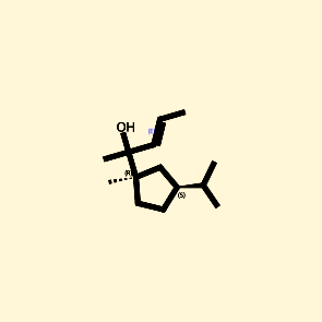 C/C=C/C(C)(O)[C@]1(C)CC[C@H](C(C)C)C1